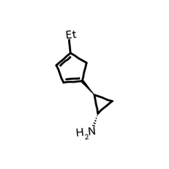 CCC1=CC=C([C@H]2C[C@@H]2N)C1